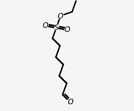 CCOS(=O)(=O)CCCCCCC=O